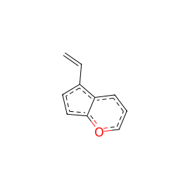 C=Cc1ccc2occcc1-2